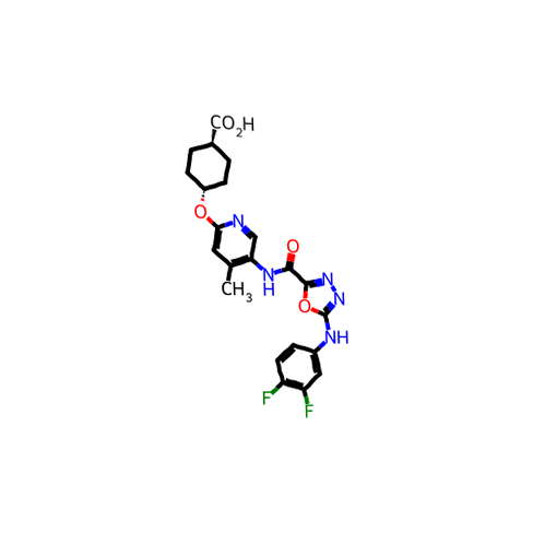 Cc1cc(O[C@H]2CC[C@H](C(=O)O)CC2)ncc1NC(=O)c1nnc(Nc2ccc(F)c(F)c2)o1